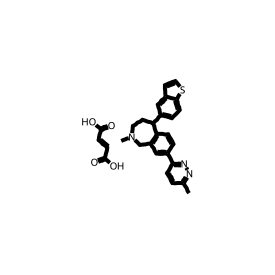 Cc1ccc(-c2ccc3c(c2)CN(C)CCC3c2ccc3sccc3c2)nn1.O=C(O)C=CC(=O)O